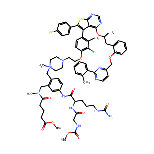 COc1ccccc1-c1nccc(COc2ccccc2CC(C)Oc2ncnc3sc(-c4ccc(F)cc4)c(-c4ccc(OCCN5CC[N+](C)(Cc6ccc(NC(=O)C(CCCNC(N)=O)NC(=O)CNC(=O)OC(C)(C)C)cc6CN(C)C(=O)CCCC(=O)OC(C)(C)C)CC5)c(Cl)c4C)c23)n1